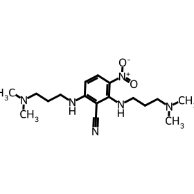 CN(C)CCCNc1ccc([N+](=O)[O-])c(NCCCN(C)C)c1C#N